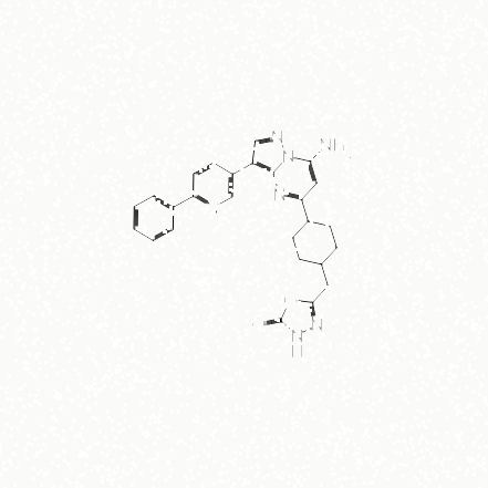 Nc1cc(C2CCC(Cc3n[nH]c(=O)o3)CC2)nc2c(-c3ccc(-c4ccccc4)nc3)cnn12